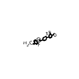 C=Cc1ccc(OCC2CCC(c3ccc(C4CO4)c(F)c3F)CC2)c(F)c1